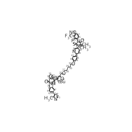 Cc1ncsc1-c1ccc(CNC(=O)C2CCCN2C(=O)C(NC(=O)COCCCCCOc2ccc(-c3ccc(N4C(=S)N(c5ccc(C#N)c(C(F)(F)F)c5F)C(=O)C4(C)C)cn3)cc2)C(C)(C)C)cc1